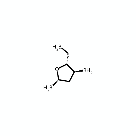 BC[C@H]1O[C@H](B)C[C@@H]1B